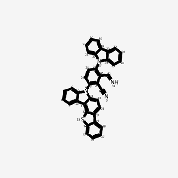 N#Cc1c(-n2c3ccccc3c3c4sc5ccccc5c4ccc32)ccc(-n2c3ccccc3c3ccccc32)c1C=N